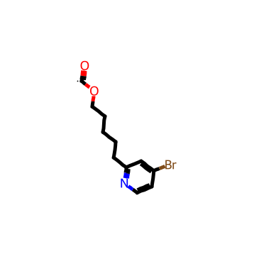 O=[C]OCCCCCc1cc(Br)ccn1